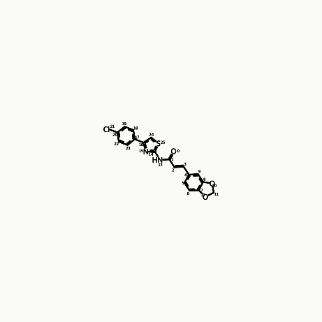 O=C(/C=C/c1ccc2c(c1)OCO2)Nc1nc(-c2ccc(Cl)cc2)cs1